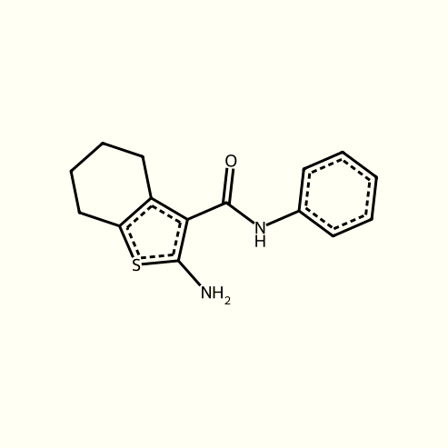 Nc1sc2c(c1C(=O)Nc1ccccc1)CCCC2